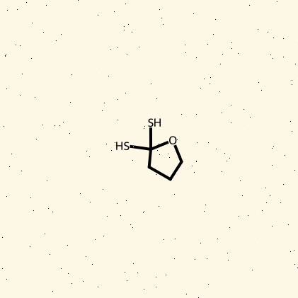 SC1(S)CCCO1